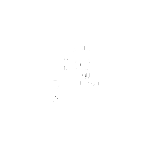 CC1(C)CC(=O)c2c(C(=O)O)sc(C(=O)N3CCC(c4cccc(CN)c4)CC3)c2C1.O=C(O)C(F)(F)F